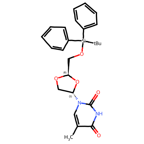 Cc1cn([C@@H]2CO[C@@H](CO[Si](c3ccccc3)(c3ccccc3)C(C)(C)C)O2)c(=O)[nH]c1=O